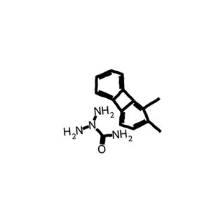 Cc1ccc2c(c1C)-c1ccccc1-2.NC(=O)N(N)N